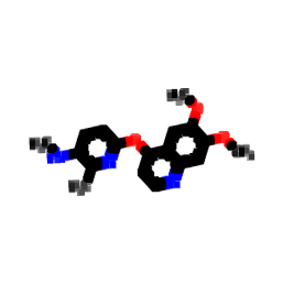 CNc1ccc(Oc2ccnc3cc(OC)c(OC)cc23)nc1C